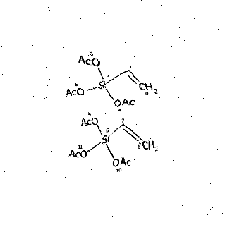 C=C[Si](OC(C)=O)(OC(C)=O)OC(C)=O.C=C[Si](OC(C)=O)(OC(C)=O)OC(C)=O